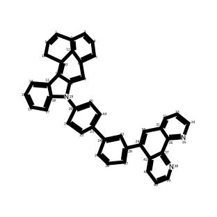 C1=Cc2cccc3cc4c(c(c23)C1)c1ccccc1n4-c1ccc(-c2cccc(-c3cc4cccnc4c4ncccc34)c2)cc1